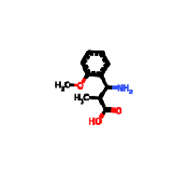 COc1ccccc1C(N)C(C)C(=O)O